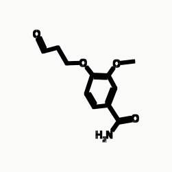 COc1cc(C(N)=O)ccc1OCCC=O